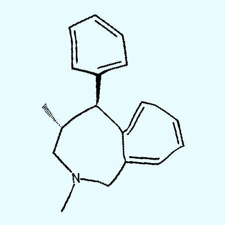 C[C@H]1CN(C)Cc2ccccc2[C@@H]1c1ccccc1